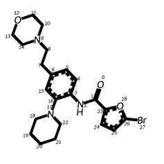 O=C(Nc1ccc(CCN2CCOCC2)cc1N1CCCCC1)c1ccc(Br)o1